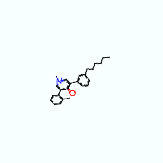 CCCCCCc1cccc(-c2cn(C)cc(-c3ccccc3C)c2=O)c1